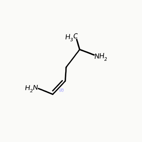 CC(N)C/C=C\N